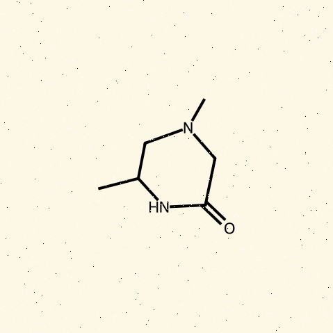 CC1CN(C)CC(=O)N1